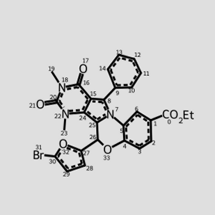 CCOC(=O)c1ccc2c(c1)-n1c(-c3ccccc3)c3c(=O)n(C)c(=O)n(C)c3c1C(c1ccc(Br)o1)O2